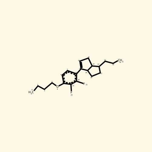 CCCCOc1ccc(C2=CCC3C(CCC)CCC23)c(F)c1F